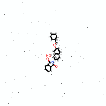 O=C1c2ccccc2C(=O)N1[C@H]1C=Cc2ccc(OCc3ccccc3)cc2[C@H]1O